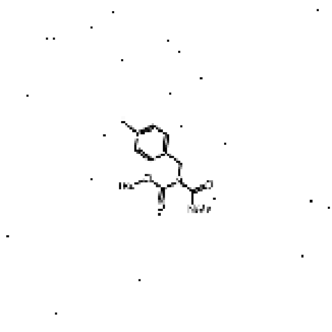 CNC(=O)N(Cc1ccc(F)cc1)C(=O)OC(C)(C)C